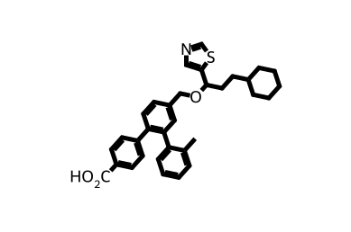 Cc1ccccc1-c1cc(COC(CCC2CCCCC2)c2cncs2)ccc1-c1ccc(C(=O)O)cc1